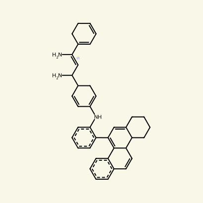 N/C(=C\C(N)C1C=CC(Nc2ccccc2C2=C3c4ccccc4C=CC3C3CCCCC3=C2)=CC1)C1=CC=CCC1